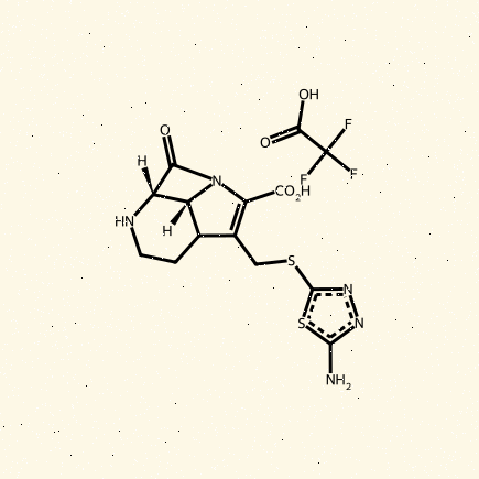 Nc1nnc(SCC2=C(C(=O)O)N3C(=O)[C@H]4NCCC2[C@H]43)s1.O=C(O)C(F)(F)F